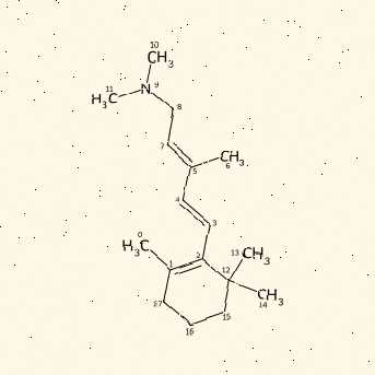 CC1=C(/C=C/C(C)=C/CN(C)C)C(C)(C)CCC1